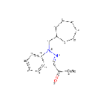 COC(=O)c1nn(CC2CCCCCC2)c2ccccc12